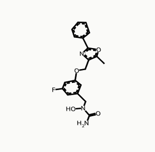 Cc1oc(-c2ccccc2)nc1COc1cc(F)cc(CN(O)C(N)=O)c1